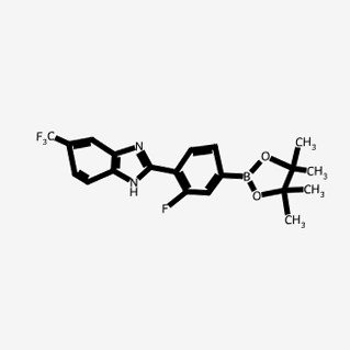 CC1(C)OB(c2ccc(-c3nc4cc(C(F)(F)F)ccc4[nH]3)c(F)c2)OC1(C)C